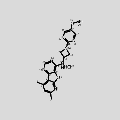 Cc1cc(C)c2c(n1)oc1c(NC3CN(c4ncc(OC(C)C)cn4)C3)ncnc12.Cl